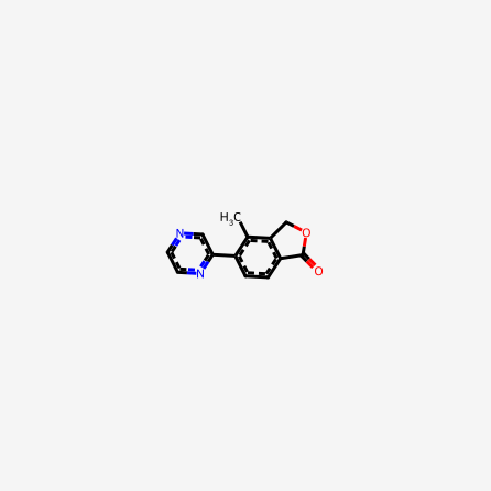 Cc1c(-c2cnccn2)ccc2c1COC2=O